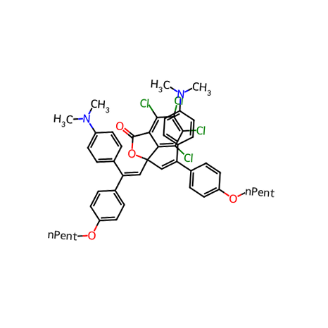 CCCCCOc1ccc(/C(=C/C2(/C=C(/c3ccc(OCCCCC)cc3)c3ccc(N(C)C)cc3)OC(=O)c3c(Cl)c(Cl)c(Cl)c(Cl)c32)c2ccc(N(C)C)cc2)cc1